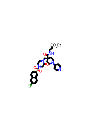 CCOC(=O)CCNC(=O)C1(CN2CCN(S(=O)(=O)c3ccc4cc(Cl)ccc4c3)CC2=O)CCN(c2ccncc2)CC1